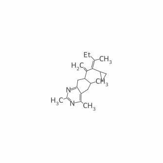 C=C(/C(=C(/C)CC)C1CC1)C1Cc2nc(C)nc(C)c2CC1C